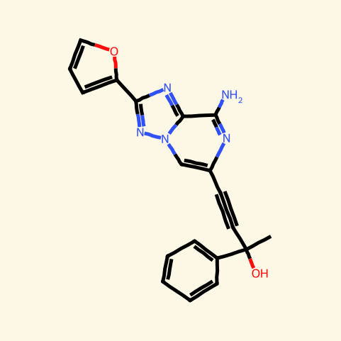 CC(O)(C#Cc1cn2nc(-c3ccco3)nc2c(N)n1)c1ccccc1